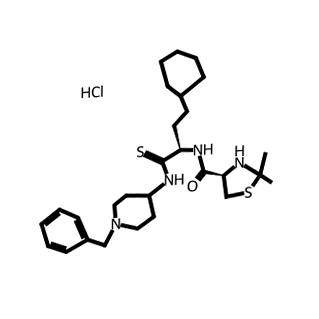 CC1(C)N[C@H](C(=O)N[C@H](CCC2CCCCC2)C(=S)NC2CCN(Cc3ccccc3)CC2)CS1.Cl